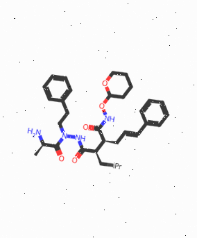 CC(C)C[C@@H](C(=O)NN(CCc1ccccc1)C(=O)[C@@H](C)N)[C@H](CC=Cc1ccccc1)C(=O)NOC1CCCCO1